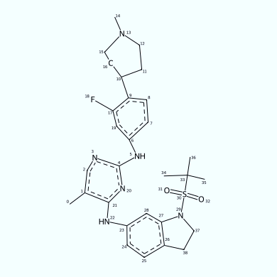 Cc1cnc(Nc2ccc(C3CCN(C)CC3)c(F)c2)nc1Nc1ccc2c(c1)N(S(=O)(=O)C(C)(C)C)CC2